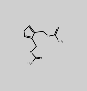 CC(=O)OCC1=CCC=C1COC(C)=O